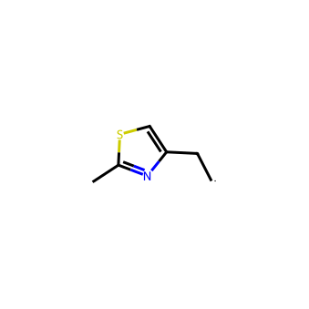 [CH2]Cc1csc(C)n1